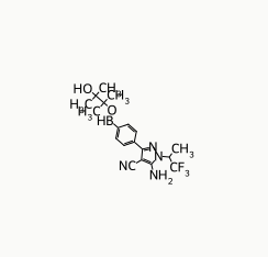 CC(n1nc(-c2ccc(BOC(C)(C)C(C)(C)O)cc2)c(C#N)c1N)C(F)(F)F